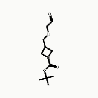 CC(C)(C)OC(=O)N1CC(COCC=O)C1